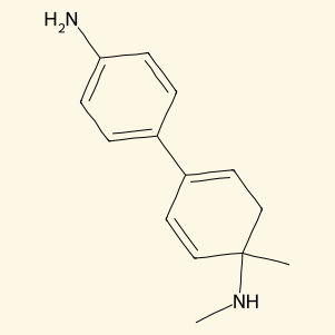 CNC1(C)C=CC(c2ccc(N)cc2)=CC1